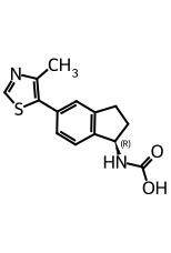 Cc1ncsc1-c1ccc2c(c1)CC[C@H]2NC(=O)O